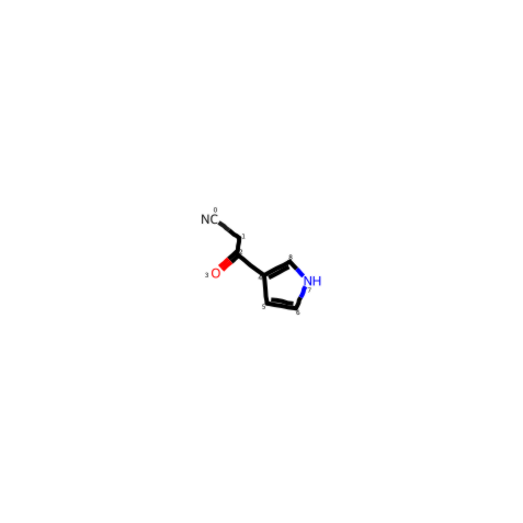 N#CCC(=O)c1cc[nH]c1